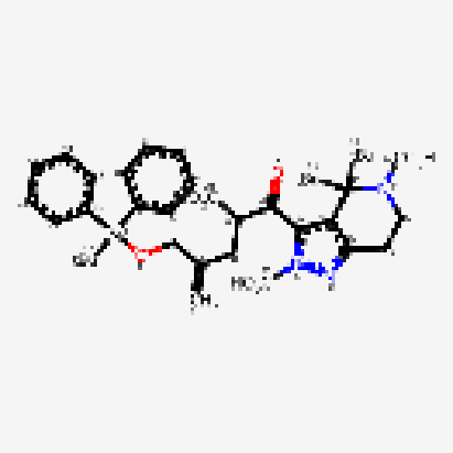 C=C(CO[Si](c1ccccc1)(c1ccccc1)C(C)(C)C)CC(C(=O)OCC)C(=O)c1c2c(nn1C(=O)O)CCN(C(=O)O)C2(C(C)(C)C)C(C)(C)C